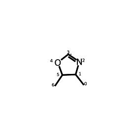 CC1N=[C]OC1C